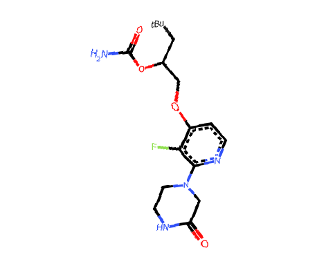 CC(C)(C)CC(COc1ccnc(N2CCNC(=O)C2)c1F)OC(N)=O